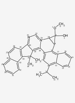 COC1(O)C2c3c(cc(C(C)C)c4ccccc34)-c3c4c(nc[n+]3C21)-c1ccc2ccccc2c1C4(C)C